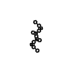 c1ccc(-c2ccc3oc4ccc(-n5c6ccccc6c6cc7c(cc65)c5ccccc5n7-c5ccc6oc7ccc(-c8ccccc8)cc7c6c5)cc4c3c2)cc1